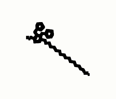 CCCCCCCCCCCCCCCCCCc1ccc(C)c(Cc2ccccc2)c1Cc1ccccc1